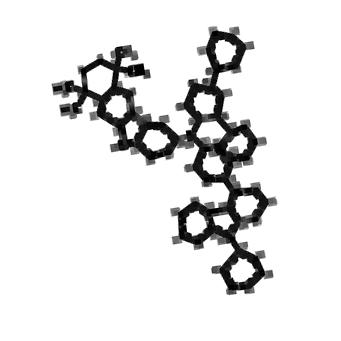 CC1(C)CCC(C)(C)c2cc3c(cc21)oc1ccc(N(c2ccc(-c4cccc5c4c4ccccc4n5-c4ccccc4)cc2)c2ccc(-c4ccccc4)cc2-c2ccccc2)cc13